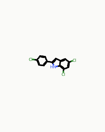 Clc1ccc(-c2cc3cc(Cl)cc(Cl)c3[nH]2)cc1